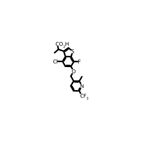 Cc1nc(C(F)(F)F)ccc1COc1cc(Cl)c2c(C(C)C(=O)O)csc2c1F